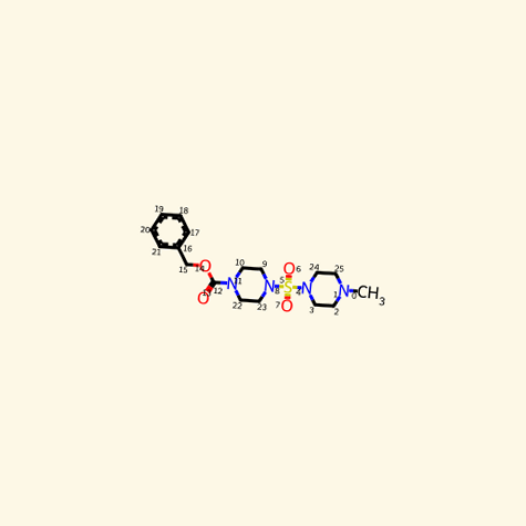 CN1CCN(S(=O)(=O)N2CCN(C(=O)OCc3ccccc3)CC2)CC1